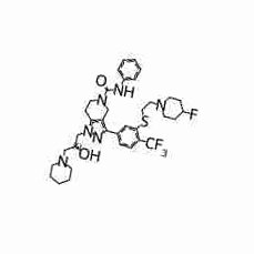 O=C(Nc1ccccc1)N1CCc2c(c(-c3ccc(C(F)(F)F)c(SCCN4CCC(F)CC4)c3)nn2C[C@@H](O)CN2CCCCC2)C1